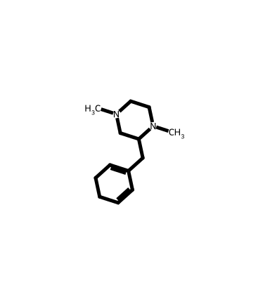 CN1CCN(C)C(CC2=CCCC=C2)C1